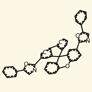 c1ccc(-c2cnc(-c3ccc4c(c3)C3(c5ccccc5O4)c4ccccc4-c4ccc(-c5ncc(-c6ccccc6)o5)cc43)o2)cc1